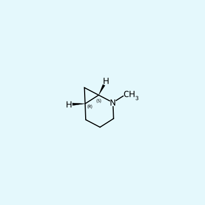 CN1CCC[C@@H]2C[C@@H]21